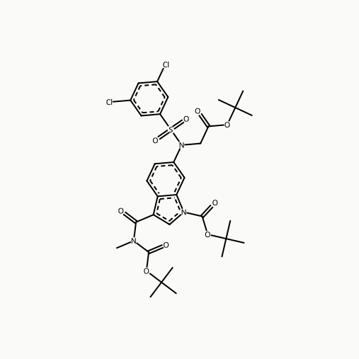 CN(C(=O)OC(C)(C)C)C(=O)c1cn(C(=O)OC(C)(C)C)c2cc(N(CC(=O)OC(C)(C)C)S(=O)(=O)c3cc(Cl)cc(Cl)c3)ccc12